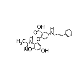 CC(=O)Nc1c(O)cc(O)cc1Oc1ccc(NC/C=C/c2ccccc2)cc1C(=O)O